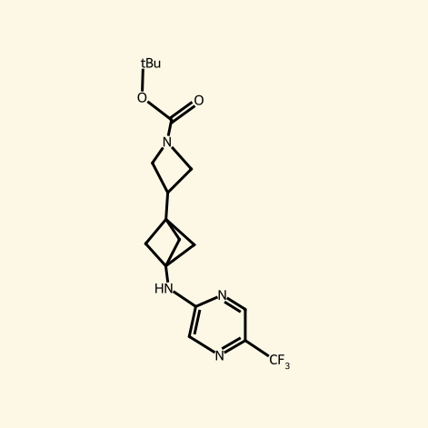 CC(C)(C)OC(=O)N1CC(C23CC(Nc4cnc(C(F)(F)F)cn4)(C2)C3)C1